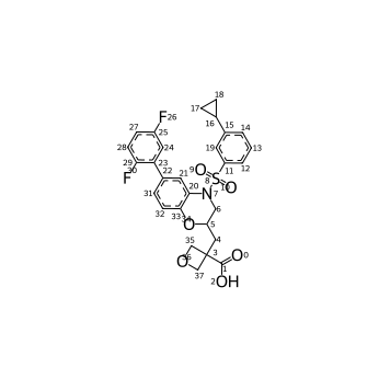 O=C(O)C1(CC2CN(S(=O)(=O)c3cccc(C4CC4)c3)c3cc(-c4cc(F)ccc4F)ccc3O2)COC1